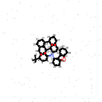 CC(C)(C)c1ccc(N(c2ccccc2-c2cccc3cccc(-c4ccccc4)c23)c2cccc3oc4ccccc4c23)cc1